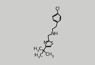 CC(C)(C)c1csc(CNCCc2ccc(Cl)cc2)n1